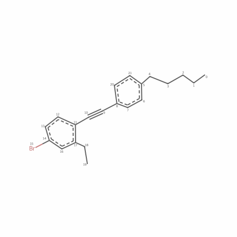 CCCCCc1ccc(C#Cc2ccc(Br)cc2CC)cc1